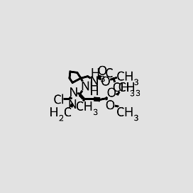 C=N/C(Cl)=N\C(NC1(CNC(=O)OC(C)(C)C)CCCC1)=C(/C)C#CC(OCC)OCC